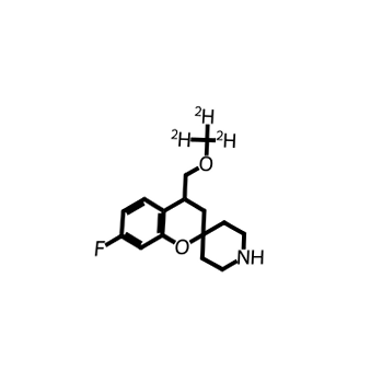 [2H]C([2H])([2H])OCC1CC2(CCNCC2)Oc2cc(F)ccc21